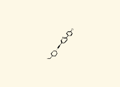 CC[C@H]1CC[C@H](C#Cc2ccc(-c3ccc(Cl)cc3)nc2)CC1